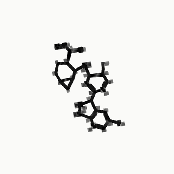 COC(=O)[C@@H]1CCC2CC2C1Nc1nc(C2NNc3ncc(F)cc32)ncc1F